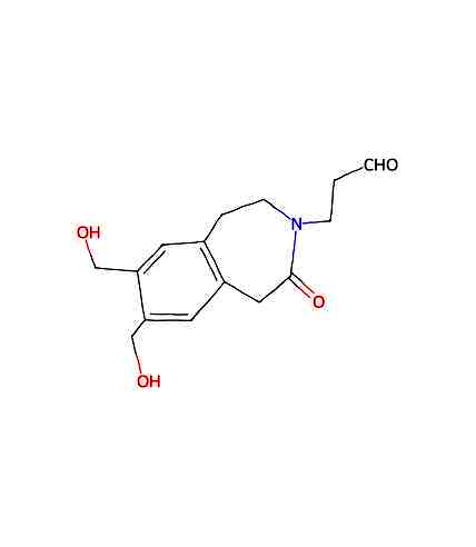 O=CCCN1CCc2cc(CO)c(CO)cc2CC1=O